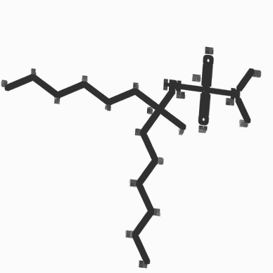 CCCCCCC(C)(CCCCCC)NS(=O)(=O)N(C)C